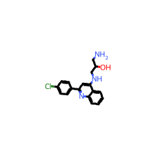 NCC(O)CNc1cc(-c2ccc(Cl)cc2)nc2ccccc12